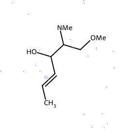 C/C=C/C(O)C(COC)NC